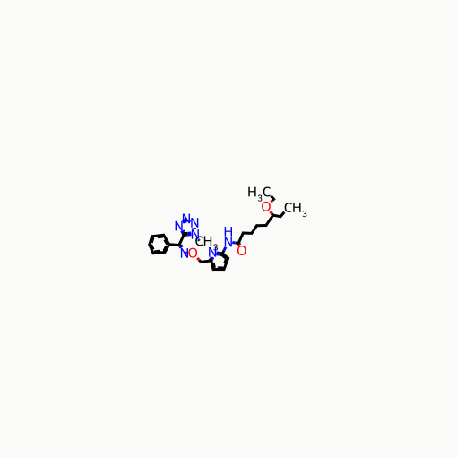 CCOC(CC)CCCCC(=O)Nc1cccc(CO/N=C(/c2ccccc2)c2nnnn2C)n1